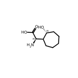 N[C@@H](C(=O)O)C1CCCCC[C@H]1O